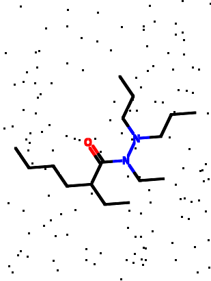 CCCCC(CC)C(=O)N(CC)N(CCC)CCC